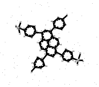 Cc1ccc(-c2cc(-c3ccc([Si](C)(C)C)cc3)c3ccc4c(-c5ccc(C)cc5)cc(-c5ccc([Si](C)(C)C)cc5)c5ccc2c3c45)cc1